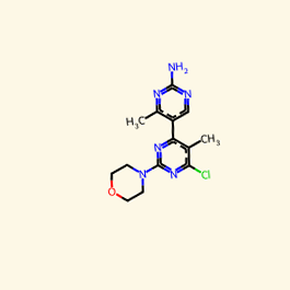 Cc1nc(N)ncc1-c1nc(N2CCOCC2)nc(Cl)c1C